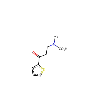 CC(C)(C)N(CCC(=O)c1cccs1)C(=O)O